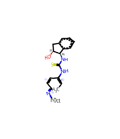 C\C=C(/C=C\C=N\CCCCCCCC)NC(=S)N[C@@H]1c2ccccc2C[C@@H]1O